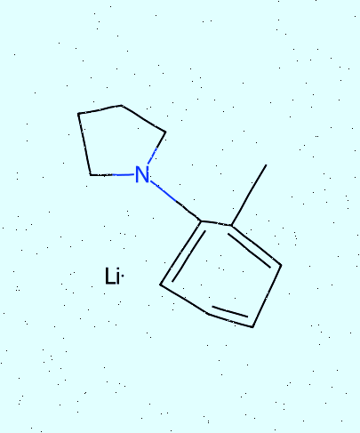 Cc1ccccc1N1CCCC1.[Li]